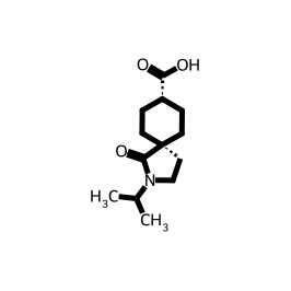 CC(C)N1CC[C@]2(CC[C@@H](C(=O)O)CC2)C1=O